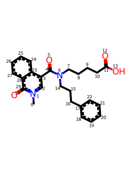 Cn1cc(C(=O)N(CCCCC(=O)O)CCCc2ccccc2)c2ccccc2c1=O